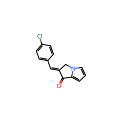 O=C1/C(=C/c2ccc(Cl)cc2)Cn2cccc21